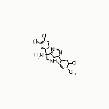 NCC(N)(c1ccc(Cl)c(Cl)c1)c1cc(-c2ccc(C(F)(F)F)c(Cl)c2)ncn1